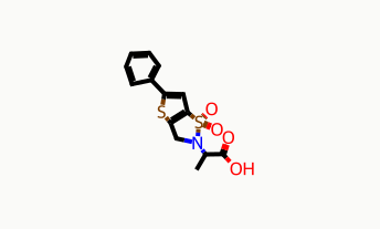 CC(C(=O)O)N1Cc2sc(-c3ccccc3)cc2S1(=O)=O